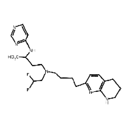 O=C(O)C(CCN(CCCCc1ccc2c(n1)NCCC2)CC(F)F)Nc1ccncn1